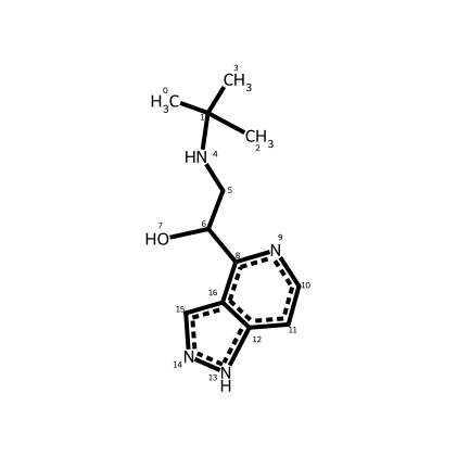 CC(C)(C)NCC(O)c1nccc2[nH]ncc12